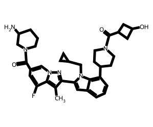 Cc1c(-c2cc3cccc(C4CCN(C(=O)C5CC(O)C5)CC4)c3n2CC2CC2)nn2cc(C(=O)N3CCCC(N)C3)cc(F)c12